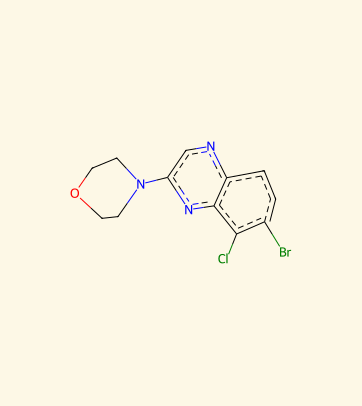 Clc1c(Br)ccc2ncc(N3CCOCC3)nc12